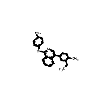 C=Cc1cc(-c2cnc(Nc3ccc(C(C)(C)C)cc3)c3ccccc23)ccc1C